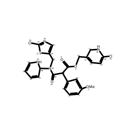 COc1cccc(C(C(=O)OCC2=CC=C(Cl)NC2)C(=O)N(Cc2cnc(Cl)s2)C2C=CC=CN2)c1